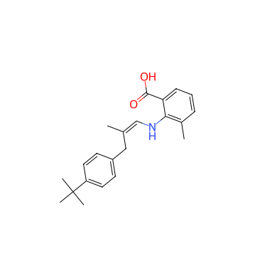 CC(=CNc1c(C)cccc1C(=O)O)Cc1ccc(C(C)(C)C)cc1